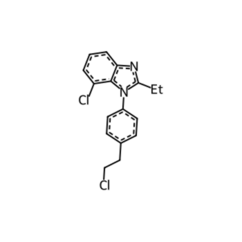 CCc1nc2cccc(Cl)c2n1-c1ccc(CCCl)cc1